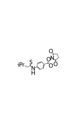 C[C](C)CC(=S)Nc1ccc(C(=O)ON2C(=O)CCC2=O)cc1